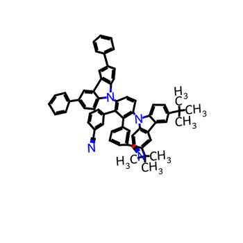 CC(C)(C)c1ccc2c(c1)c1cc(C(C)(C)C)ccc1n2-c1ccc(-n2c3ccc(-c4ccccc4)cc3c3cc(-c4ccccc4)ccc32)c(-c2cccc(C#N)c2)c1-c1cccc(C#N)c1